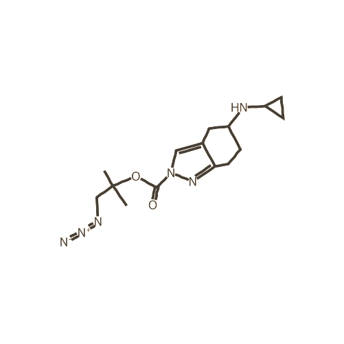 CC(C)(CN=[N+]=[N-])OC(=O)n1cc2c(n1)CCC(NC1CC1)C2